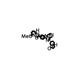 COc1cccc(NC(=O)c2ccc(C3=NC([C@@H]4CC[C@H]5CCC(=O)N5C4)=C4C=NC=C[N+]34N)cc2)n1